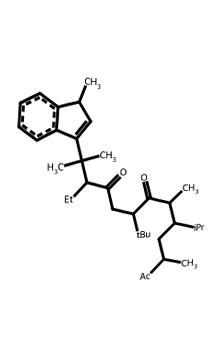 CCC(C(=O)CC(C(=O)C(C)C(CC(C)C(C)=O)C(C)C)C(C)(C)C)C(C)(C)C1=CC(C)c2ccccc21